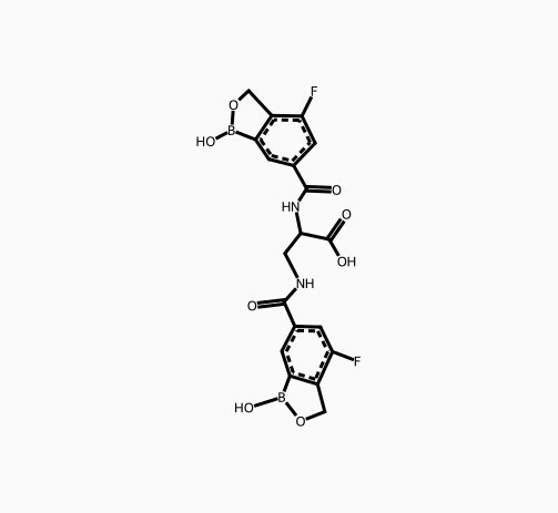 O=C(NCC(NC(=O)c1cc(F)c2c(c1)B(O)OC2)C(=O)O)c1cc(F)c2c(c1)B(O)OC2